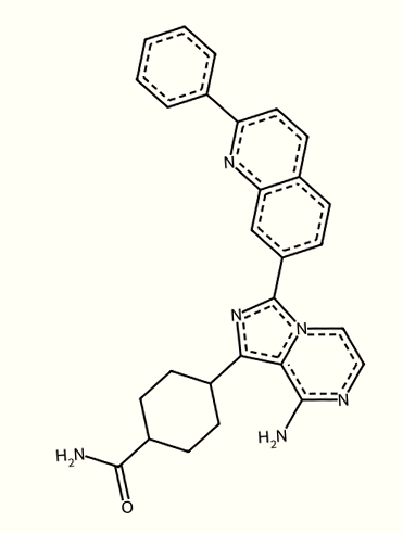 NC(=O)C1CCC(c2nc(-c3ccc4ccc(-c5ccccc5)nc4c3)n3ccnc(N)c23)CC1